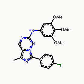 COc1cc(Nc2ncc3c(C)nc(-c4ccc(F)cc4)n3n2)cc(OC)c1OC